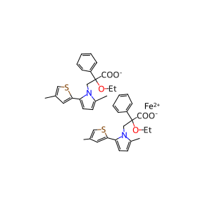 CCOC(Cn1c(C)ccc1-c1cc(C)cs1)(C(=O)[O-])c1ccccc1.CCOC(Cn1c(C)ccc1-c1cc(C)cs1)(C(=O)[O-])c1ccccc1.[Fe+2]